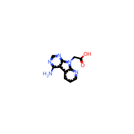 Nc1ncnc2c1c1cccnc1n2CC(=O)O